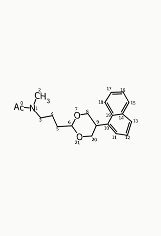 CC(=O)N(C)CCCC1OCC(c2cccc3ccccc23)CO1